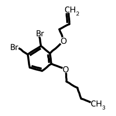 C=CCOc1c(OCCCC)ccc(Br)c1Br